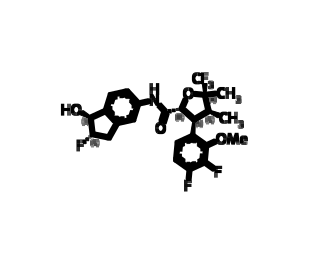 COc1c([C@H]2[C@H](C(=O)Nc3ccc4c(c3)C[C@H](F)[C@H]4O)O[C@@](C)(C(F)(F)F)[C@H]2C)ccc(F)c1F